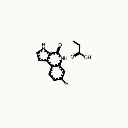 CCC(=O)O.O=c1[nH]c2cc(F)ccc2c2cc[nH]c12